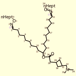 CCCCCCCO/N=C\CCCCCCCCC(CCCCCCCC/C=N\OCCCCCCC)OC(=O)CC1CC(CN(C)C)C1